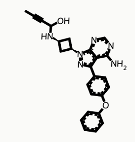 CC#CC(O)N[C@H]1C[C@@H](n2nc(-c3ccc(Oc4ccccc4)cc3)c3c(N)ncnc32)C1